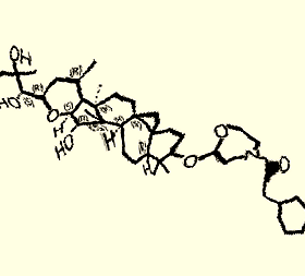 C[C@@H]1C[C@H]([C@H](O)C(C)(C)O)O[C@H]2C1[C@@]1(C)CC[C@@]34CC35CCC(OC3CN(C(=O)CC6CCCCC6)CCO3)C(C)(C)[C@@H]5CC[C@H]4[C@]1(C)[C@H]2O